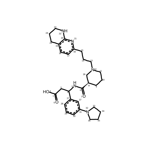 O=C(O)CC(NC(=O)[C@@H]1CCCN(CCCc2ccc3c(n2)NCCC3)C1)c1cccc(N2CCCC2)c1